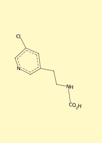 O=C(O)NCCc1cncc(Cl)c1